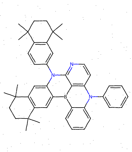 CC1(C)CCC(C)(C)c2cc(N3c4cc5c(cc4B4c6ccccc6N(c6ccccc6)c6ccnc3c64)C(C)(C)CCC5(C)C)ccc21